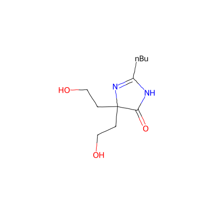 CCCCC1=NC(CCO)(CCO)C(=O)N1